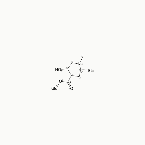 CC[C@@H]1CC(C(=O)OC(C)(C)C)C(O)CN1C